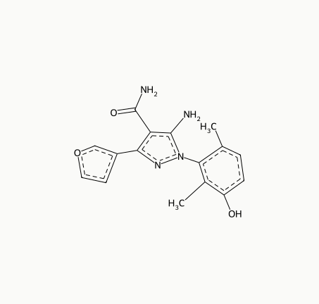 Cc1ccc(O)c(C)c1-n1nc(-c2ccoc2)c(C(N)=O)c1N